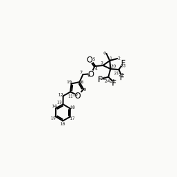 CC1(C)C(C(=O)OCc2coc(Cc3ccccc3)c2)C1(C(F)F)C(F)F